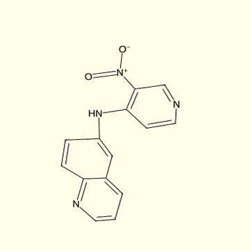 O=[N+]([O-])c1cnccc1Nc1ccc2ncccc2c1